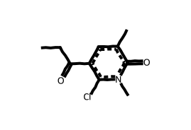 CCC(=O)c1cc(C)c(=O)n(C)c1Cl